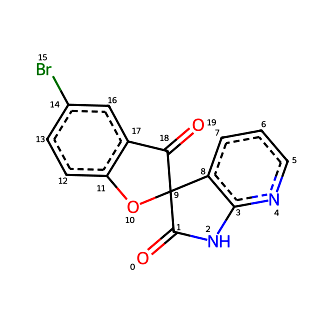 O=C1Nc2ncccc2C12Oc1ccc(Br)cc1C2=O